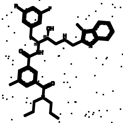 CCCN(CCC)C(=O)c1cc(C)cc(C(=O)N[C@@H](Cc2cc(F)cc(F)c2)[C@H](O)CNCc2nc3ccccc3n2C)c1